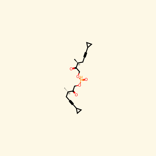 C[C@@H](CC#CC1CC1)C(=O)CO[PH](=O)OCC(=O)[C@@H](C)CC#CC1CC1